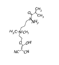 C=C(C)C(=O)N(N)CCC[N+](C)(C)CCOC(O)=C(C#N)C#N